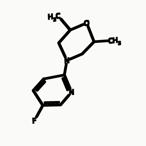 CC1CN(c2ccc(F)cn2)CC(C)O1